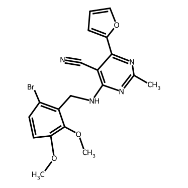 COc1ccc(Br)c(CNc2nc(C)nc(-c3ccco3)c2C#N)c1OC